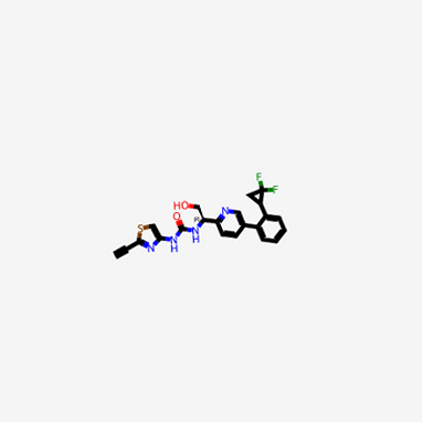 C#Cc1nc(NC(=O)N[C@@H](CO)c2ccc(-c3ccccc3C3CC3(F)F)cn2)cs1